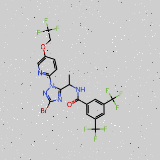 CC(NC(=O)c1cc(C(F)(F)F)cc(C(F)(F)F)c1)c1nc(Br)nn1-c1ccc(OCC(F)(F)F)cn1